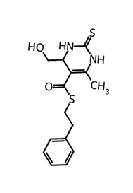 CC1=C(C(=O)SCCc2ccccc2)C(CO)NC(=S)N1